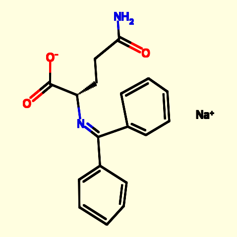 NC(=O)CC[C@H](N=C(c1ccccc1)c1ccccc1)C(=O)[O-].[Na+]